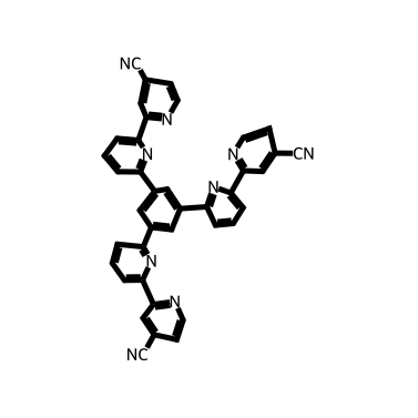 N#Cc1ccnc(-c2cccc(-c3cc(-c4cccc(-c5cc(C#N)ccn5)n4)cc(-c4cccc(-c5cc(C#N)ccn5)n4)c3)n2)c1